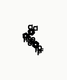 O=S(=O)(NCC1(c2ccc(Cl)c(Cl)c2)CCCC1)c1ccc(OC(F)(F)F)cc1